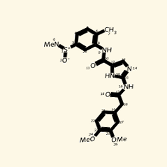 CN[S+]([O-])c1ccc(C)c(NC(=O)c2cnc(NC(=O)Cc3ccc(OC)c(OC)c3)[nH]2)c1